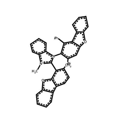 Cc1ccc2c(oc3ccccc32)c1-c1n(-c2c(C(C)C)cc3oc4ccccc4c3c2C(C)C)c2ccccc2[n+]1C